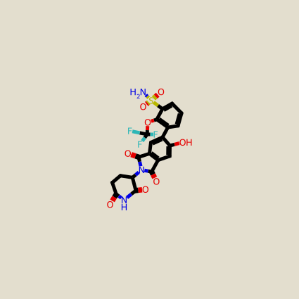 NS(=O)(=O)c1cccc(-c2cc3c(cc2O)C(=O)N(C2CCC(=O)NC2=O)C3=O)c1OC(F)(F)F